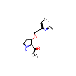 C=N/C(=C\C)CO[C@H]1CCN[C@@H]1C(C)=O